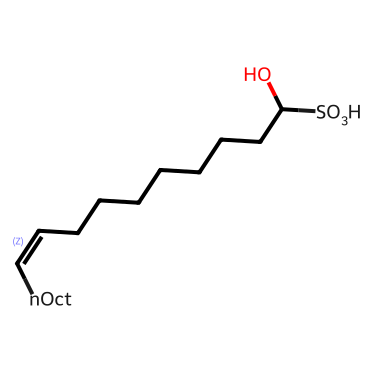 CCCCCCCC/C=C\CCCCCCCC(O)S(=O)(=O)O